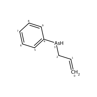 C=CC[AsH]c1ccccc1